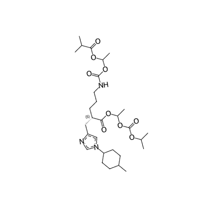 CC1CCC(n2cnc(C[C@H](CCCNC(=O)OC(C)OC(=O)C(C)C)C(=O)OC(C)OC(=O)OC(C)C)c2)CC1